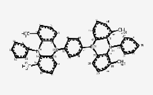 Cc1cccc2c1N(c1ccccc1)c1c(C)cccc1B2c1ccc(B2c3cccc(C)c3N(c3ccccc3)c3c(C)cccc32)cc1